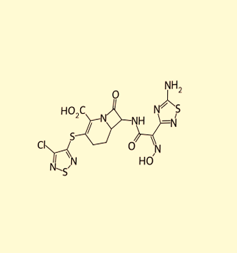 Nc1nc(/C(=N/O)C(=O)NC2C(=O)N3C(C(=O)O)=C(Sc4nsnc4Cl)CCC23)ns1